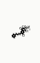 CCn1c(N)c(C(=O)O)c(=O)c2cc(CCCCc3ccccc3)c(Cl)cc21